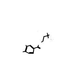 CCCCCC(C)(CCOC(=O)c1ccc(C(C)(C)C)c(C)c1)OC